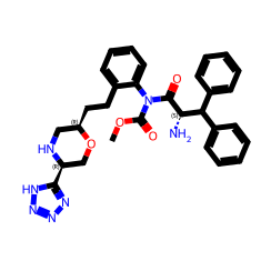 COC(=O)N(C(=O)[C@@H](N)C(c1ccccc1)c1ccccc1)c1ccccc1CC[C@@H]1CN[C@H](c2nnn[nH]2)CO1